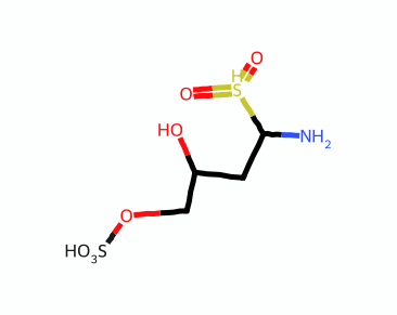 NC(CC(O)COS(=O)(=O)O)[SH](=O)=O